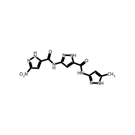 Cc1cc(NC(=O)c2cc(NC(=O)c3cc([N+](=O)[O-])n[nH]3)n[nH]2)n[nH]1